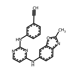 C#Cc1cccc(Nc2nccc(Nc3ccc4nc(C)oc4c3)n2)c1